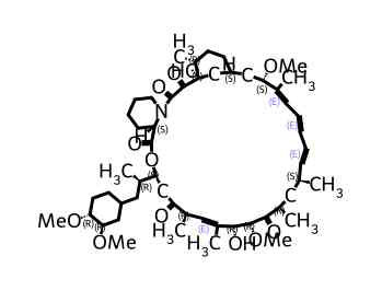 CO[C@H]1C[C@@H]2CC[C@@H](C)[C@@](O)(C2)C(=O)C(=O)N2CCCC[C@H]2C(=O)O[C@H]([C@H](C)CC2CC[C@@H](OC)[C@H](OC)C2)CC(=O)[C@H](C)/C=C(\C)[C@@H](O)[C@@H](OC)C(=O)[C@H](C)C[C@H](C)/C=C/C=C/C=C/1C